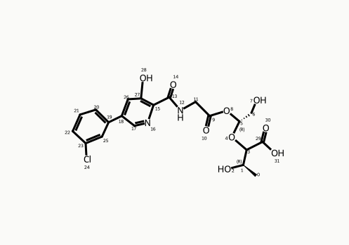 C[C@@H](O)C(O[C@@H](CO)OC(=O)CNC(=O)c1ncc(-c2cccc(Cl)c2)cc1O)C(=O)O